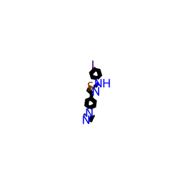 Ic1ccc(Nc2nc(-c3ccc(-n4ccnc4)cc3)cs2)cc1